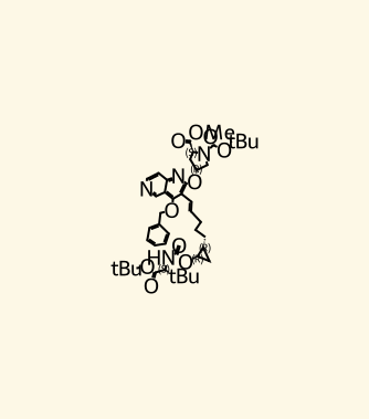 COC(=O)[C@@H]1C[C@@H](Oc2nc3ccncc3c(OCc3ccccc3)c2C=CCCC[C@@H]2C[C@H]2OC(=O)N[C@H](C(=O)OC(C)(C)C)C(C)(C)C)CN1C(=O)OC(C)(C)C